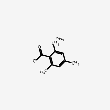 Cc1cc(C)c(C(=O)Cl)c(C)c1.P